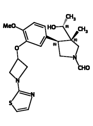 COc1ccc([C@@H]2CN(C=O)C[C@@]2(C)[C@@H](C)O)cc1OC1CN(c2nccs2)C1